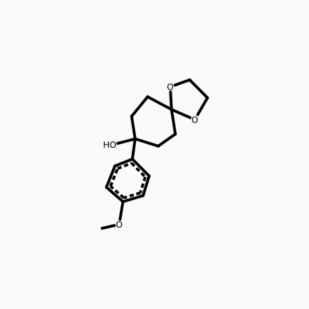 COc1ccc(C2(O)CCC3(CC2)OCCO3)cc1